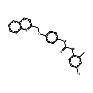 Cc1cc(Cl)ccc1NC(=S)Nc1ccc(OCc2ccc3ccccc3n2)cc1